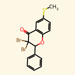 CSc1ccc2c(c1)C(=O)C(Br)(Br)C(c1ccccc1)O2